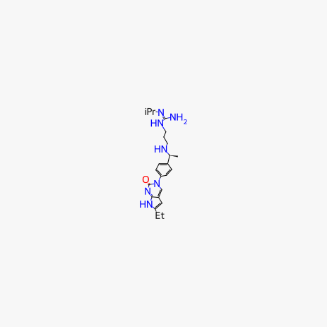 CCc1cc2cn(-c3ccc([C@H](C)NCCCN/C(N)=N\C(C)C)cc3)c(=O)nc2[nH]1